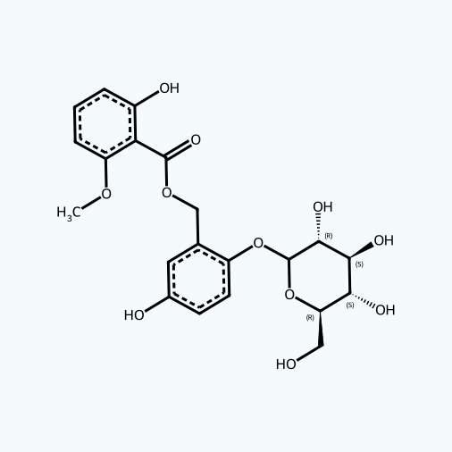 COc1cccc(O)c1C(=O)OCc1cc(O)ccc1OC1O[C@H](CO)[C@@H](O)[C@H](O)[C@H]1O